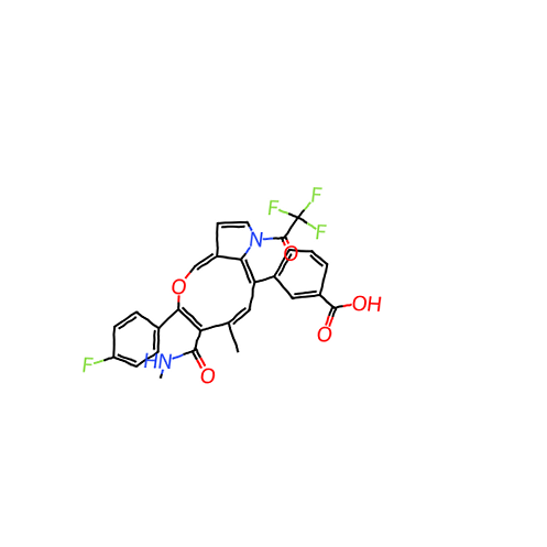 CNC(=O)c1c(C)cc(-c2cccc(C(=O)O)c2)c2c(ccn2C(=O)C(F)(F)F)coc1-c1ccc(F)cc1